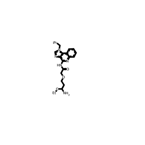 CCOC(N)CCOCC(=O)Nc1nc2ccccc2c2c1ncn2CC(C)C